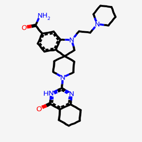 NC(=O)c1ccc2c(c1)N(CCN1CCCCC1)CC21CCN(c2nc3c(c(=O)[nH]2)CCCC3)CC1